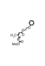 COC(=O)N=N/C(C)=C\C(=O)OCCOc1ccccc1